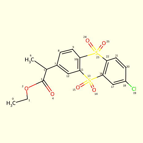 CCOC(=O)C(C)c1ccc2c(c1)S(=O)(=O)c1cc(Cl)ccc1S2(=O)=O